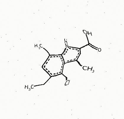 CCc1cc(C)c2[nH]c(C(=O)O)c(C)c2c1Cl